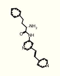 N[C@@H](CCc1ccccc1)C(=O)Nc1cncc(/C=C/c2ccncc2)c1